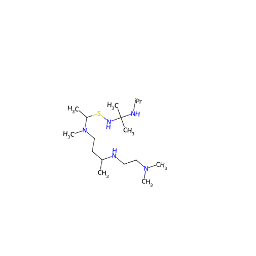 CC(C)NC(C)(C)NSC(C)N(C)CCC(C)NCCN(C)C